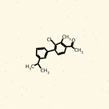 CC(=O)c1ccc(-c2cccc(C(C)C)c2)c(Cl)c1C